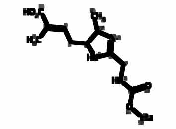 C/C(=C\CC1NC(CNC(=O)OC(C)(C)C)=NC1C)C(=O)O